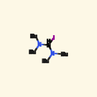 CCC(C)N(C(C)CC)[SiH](I)N(C(C)CC)C(C)CC